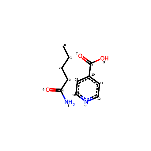 CCCCC(N)=O.O=C(O)c1ccncc1